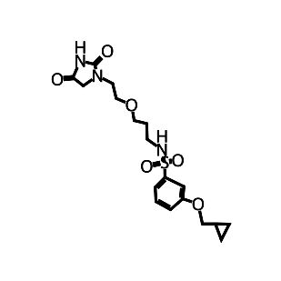 O=C1CN(CCOCCCNS(=O)(=O)c2cccc(OCC3CC3)c2)C(=O)N1